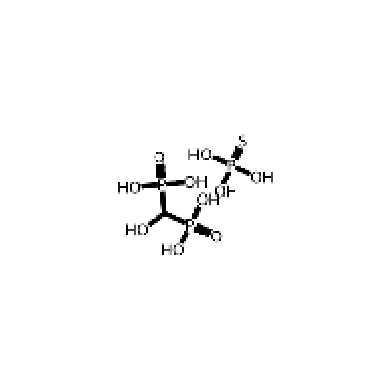 O=P(O)(O)C(O)P(=O)(O)O.OP(O)(O)=S